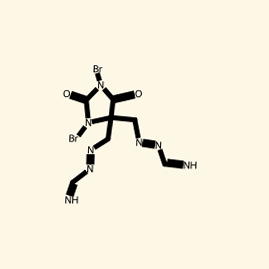 N=CN=NCC1(CN=NC=N)C(=O)N(Br)C(=O)N1Br